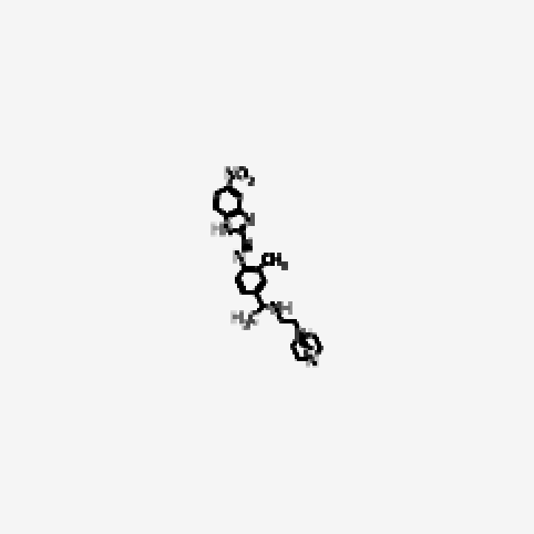 Cc1cc(C(C)NCC[N+]23CCN(CC2)CC3)ccc1N=Nc1nc2cc([N+](=O)[O-])ccc2[nH]1